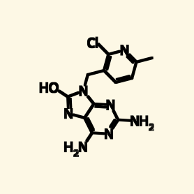 Cc1ccc(Cn2c(O)nc3c(N)nc(N)nc32)c(Cl)n1